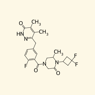 Cc1c(Cc2ccc(F)c(C(=O)N3CC(=O)N(C4CC(F)(F)C4)C(C)C3)c2)n[nH]c(=O)c1C